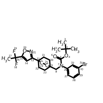 CC(C)(C)OC(=O)N(CC12CCC(c3cc(C(C)(F)F)on3)(CC1)CC2)c1cccc(Br)c1